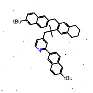 CC(C)(C)c1ccc2cc(Cc3cc4c(cc3C(C)(C)Cc3ccnc(-c5ccc6cc(C(C)(C)C)ccc6c5)c3)CCCC4)ccc2c1